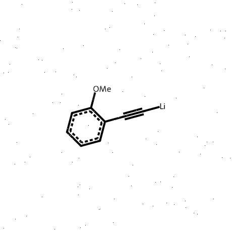 [Li][C]#Cc1ccccc1OC